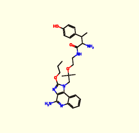 CCCOc1nc2c(N)nc3ccccc3c2n1CC(C)(C)OCCNC(=O)C(N)C(C)c1ccc(O)cc1